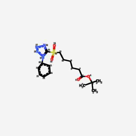 CC(C)(C)OC(=O)CCCCCS(=O)(=O)c1nnnn1-c1ccccc1